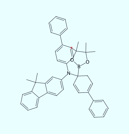 CC1(C)c2ccccc2-c2ccc(N(c3ccc(-c4ccccc4)cc3)C3(B4OC(C)(C)C(C)(C)O4)C=CC(c4ccccc4)=CC3)cc21